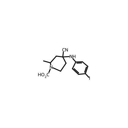 CC1CC(C#N)(Nc2ccc(I)cc2)CCN1C(=O)O